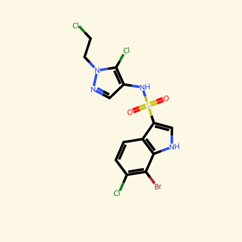 O=S(=O)(Nc1cnn(CCCl)c1Cl)c1c[nH]c2c(Br)c(Cl)ccc12